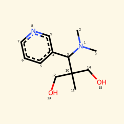 CN(C)C(c1cccnc1)C(C)(CO)CO